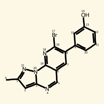 Cc1cc2ncc3cc(-c4cccc(O)c4)c(Br)nc3n2n1